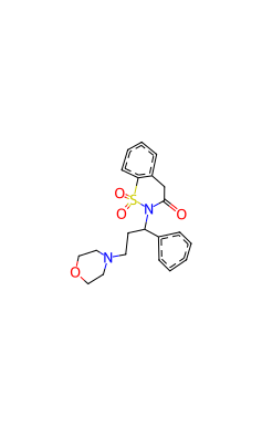 O=C1Cc2ccccc2S(=O)(=O)N1C(CCN1CCOCC1)c1ccccc1